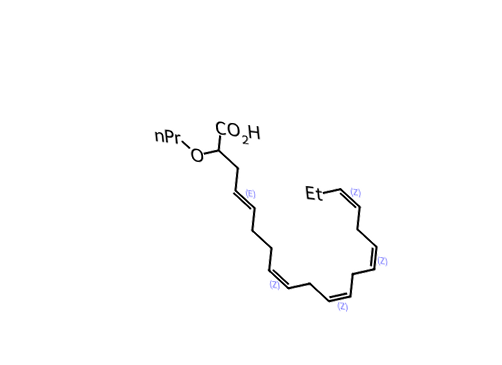 CC/C=C\C/C=C\C/C=C\C/C=C\CC/C=C/CC(OCCC)C(=O)O